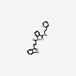 CN(CCc1ccccn1)C(=O)c1ccccc1NC(=O)C=Cc1n[nH]c2ccccc12